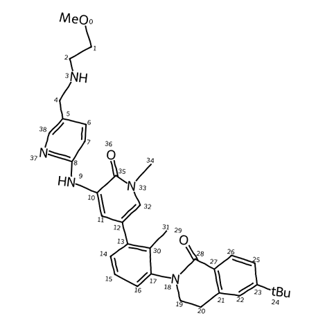 COCCNCc1ccc(Nc2cc(-c3cccc(N4CCc5cc(C(C)(C)C)ccc5C4=O)c3C)cn(C)c2=O)nc1